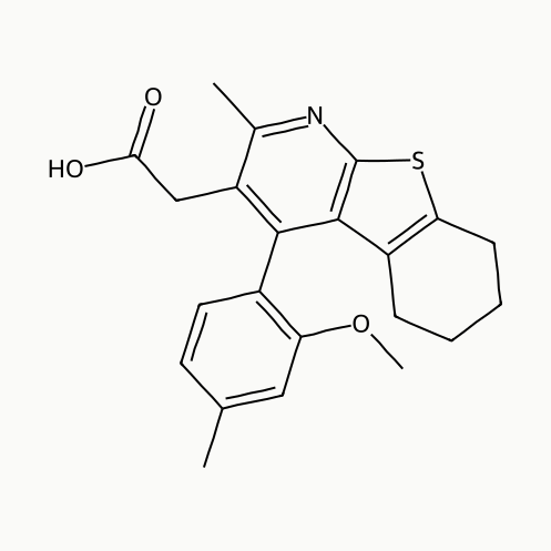 COc1cc(C)ccc1-c1c(CC(=O)O)c(C)nc2sc3c(c12)CCCC3